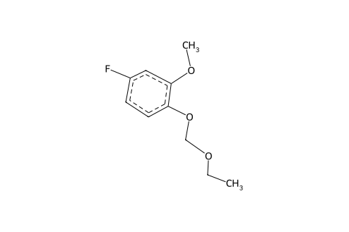 CCOCOc1ccc(F)cc1OC